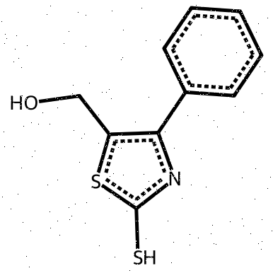 OCc1sc(S)nc1-c1ccccc1